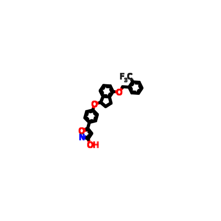 Oc1cc(-c2ccc(OC3CCc4c(OCc5ccccc5C(F)(F)F)cccc43)cc2)on1